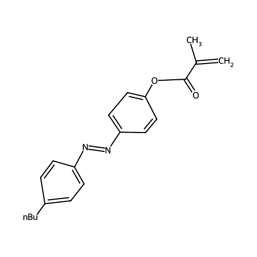 C=C(C)C(=O)Oc1ccc(N=Nc2ccc(CCCC)cc2)cc1